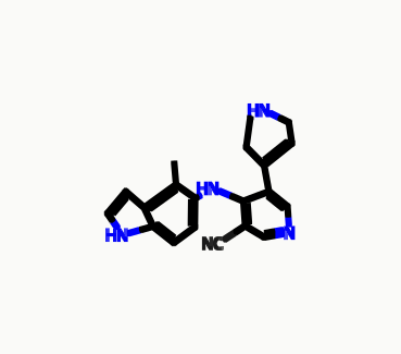 Cc1c(Nc2c(C#N)cncc2C2=CCNCC2)ccc2[nH]ccc12